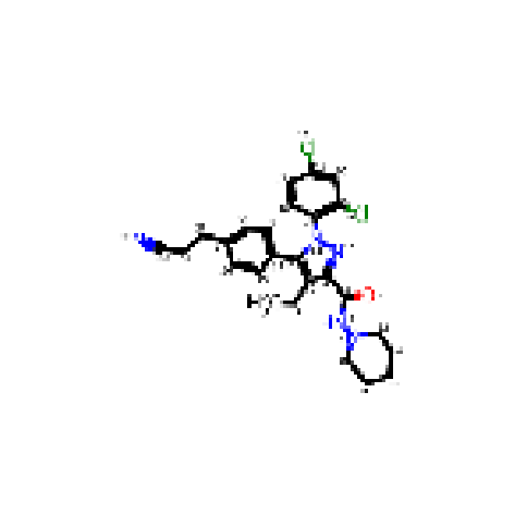 CCc1c(C(=O)NN2CCCCC2)nn(-c2ccc(Cl)cc2Cl)c1-c1ccc(CCC#N)cc1